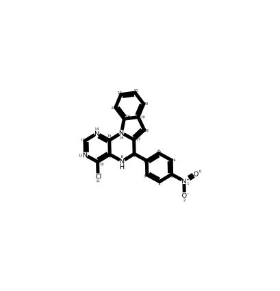 O=[N+]([O-])c1ccc(C2Nc3c(Cl)ncnc3-n3c2cc2ccccc23)cc1